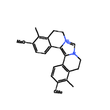 COc1ccc2c(c1C)CCn1c[n+]3c(c1-2)-c1ccc(OC)c(C)c1CC3